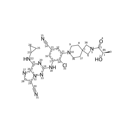 C[C@@H](O)C(=O)N1CC2(CCN(c3cc(C#N)cc(Nc4nc(NC5CC5)c5ncc(C#N)n5n4)c3Cl)CC2)C1